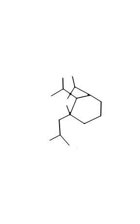 CC(C)CC12CCCC(C(C)O1)C2C(C)C